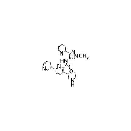 Cn1cc(NC(=O)c2nc(-c3cccnc3)ccc2C2CNCCO2)c(-c2ccccn2)n1